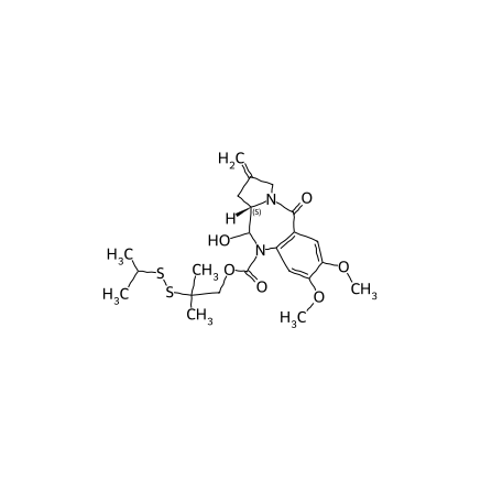 C=C1C[C@H]2C(O)N(C(=O)OCC(C)(C)SSC(C)C)c3cc(OC)c(OC)cc3C(=O)N2C1